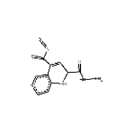 NNC(=O)C1C=C(C(=O)N=O)c2cnccc2N1